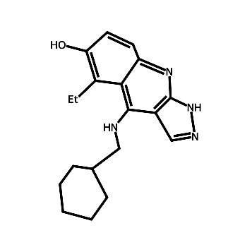 CCc1c(O)ccc2nc3[nH]ncc3c(NCC3CCCCC3)c12